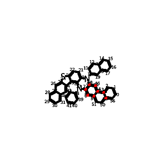 c1ccc(-c2cccc(N(c3ccc4ccccc4c3)c3ccc4sc5cc6ccccc6cc5c4c3N(c3ccccc3)c3ccc4ccccc4c3)c2)cc1